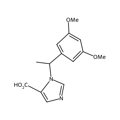 COc1cc(OC)cc(C(C)n2cncc2C(=O)O)c1